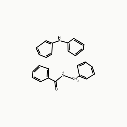 O=C(N[SiH2]c1ccccc1)c1ccccc1.c1ccc(Pc2ccccc2)cc1